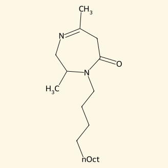 CCCCCCCCCCCCN1C(=O)CC(C)=NCC1C